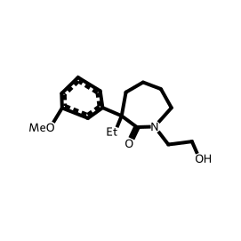 CCC1(c2cccc(OC)c2)CCCCN(CCO)C1=O